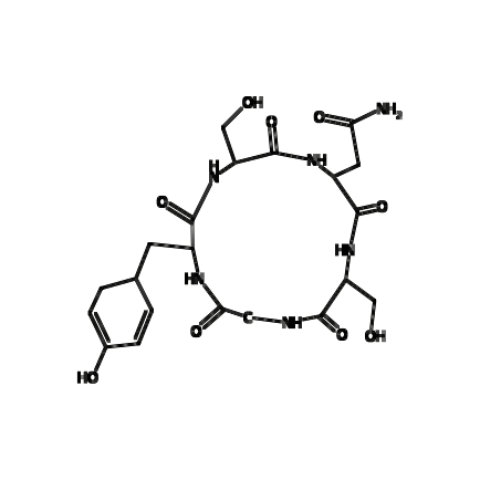 NC(=O)CC1NC(=O)C(CO)NC(=O)C(CC2C=CC(O)=CC2)NC(=O)CNC(=O)C(CO)NC1=O